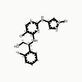 CCn1cc(Nc2ncc(Cl)c(N[C@H](CO)c3ccccc3F)n2)cn1